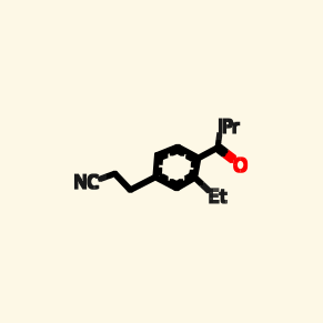 CCc1cc(CCC#N)ccc1C(=O)C(C)C